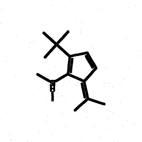 CC(C)=C1C=CC(C(C)(C)C)=C1[SiH](C)C